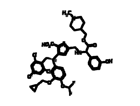 CN1CCC(COC(=O)C(NCc2cc([C@@H](Cc3c(Cl)c[n+]([O-])cc3Cl)c3ccc(OC(F)F)c(OCC4CC4)c3)c(C(=O)O)s2)c2cccc(O)c2)CC1